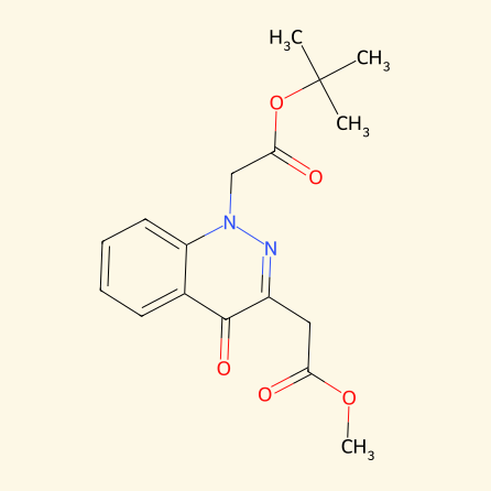 COC(=O)Cc1nn(CC(=O)OC(C)(C)C)c2ccccc2c1=O